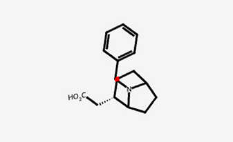 O=C(O)C[C@@H]1CCC2CCC1N2Cc1ccccc1